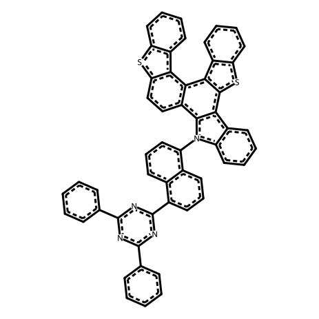 c1ccc(-c2nc(-c3ccccc3)nc(-c3cccc4c(-n5c6ccccc6c6c7sc8ccccc8c7c7c(ccc8sc9ccccc9c87)c65)cccc34)n2)cc1